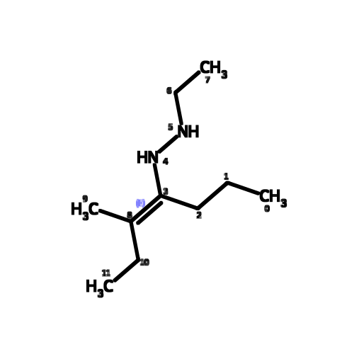 CCC/C(NNCC)=C(/C)CC